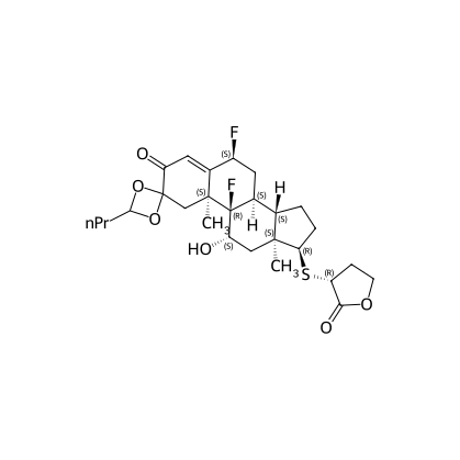 CCCC1OC2(C[C@@]3(C)C(=CC2=O)[C@@H](F)C[C@H]2[C@@H]4CC[C@@H](S[C@@H]5CCOC5=O)[C@@]4(C)C[C@H](O)[C@@]23F)O1